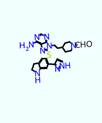 Nc1ncnc2c1nc(Sc1cc3c(cc1-c1cc[nH]n1)NCC3)n2CCC1CCN(C=O)CC1